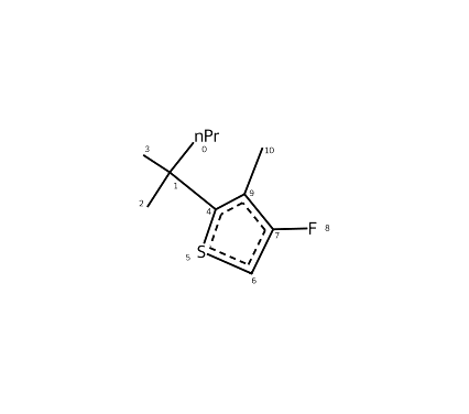 CCCC(C)(C)c1scc(F)c1C